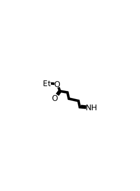 CCOC(=O)CCCC=N